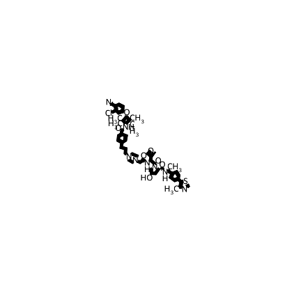 Cc1ncsc1-c1ccc([C@H](C)NC(=O)[C@@H]2C[C@@H](O)CN2C(=O)[C@@H](NC(=O)CN2CCN(CCCc3ccc(C(=O)NC4C(C)(C)C(Oc5ccc(C#N)c(Cl)c5)C4(C)C)cc3)CC2)C2COC2)cc1